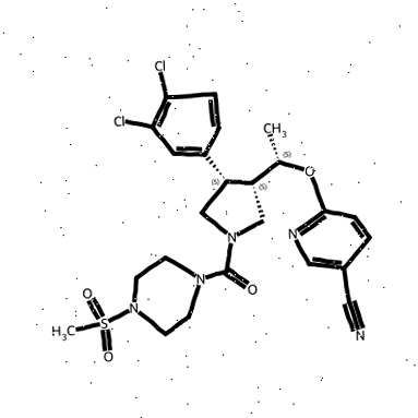 C[C@H](Oc1ccc(C#N)cn1)[C@@H]1CN(C(=O)N2CCN(S(C)(=O)=O)CC2)C[C@@H]1c1ccc(Cl)c(Cl)c1